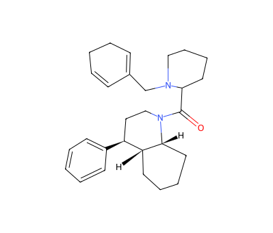 O=C(C1CCCCN1CC1=CCCC=C1)N1CC[C@H](c2ccccc2)[C@H]2CCCC[C@H]21